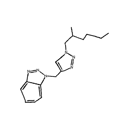 CCCCC(C)Cn1cc(Cn2nnc3ccccc32)nn1